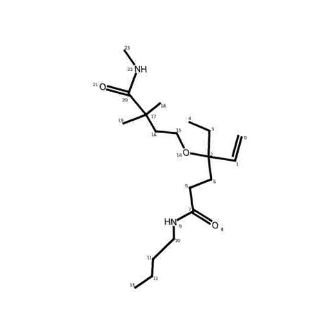 C=CC(CC)(CCC(=O)NCCCC)OCCC(C)(C)C(=O)NC